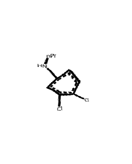 CCCNc1ccc(Cl)c(Cl)c1